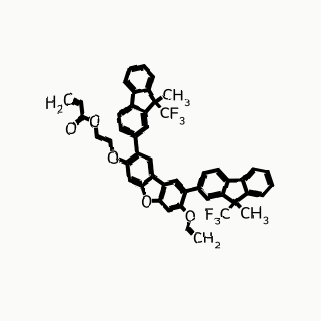 C=COc1cc2oc3cc(OCCOC(=O)C=C)c(-c4ccc5c(c4)C(C)(C(F)(F)F)c4ccccc4-5)cc3c2cc1-c1ccc2c(c1)C(C)(C(F)(F)F)c1ccccc1-2